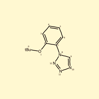 CC(C)(C)Oc1ccccc1-n1cnnn1